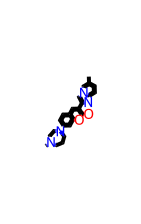 Cc1ccc2nc(-c3cc4ccc(N5CCCN(C)CC5)cc4oc3=O)cn2c1